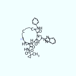 CC1(S(=O)(=O)NC(=O)[C@@]23C[C@H]2/C=C\CCCCC[C@H](Nc2ccccc2)C(=O)N2C[C@H](n4nc5ccccc5n4)C[C@H]2C(=O)N3)CC1